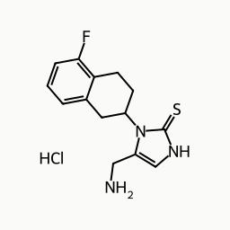 Cl.NCc1c[nH]c(=S)n1C1CCc2c(F)cccc2C1